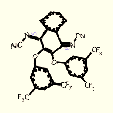 N#C/N=C1C(Oc2cc(C(F)(F)F)cc(C(F)(F)F)c2)=C(Oc2cc(C(F)(F)F)cc(C(F)(F)F)c2)/C(=N/C#N)c2ccccc2\1